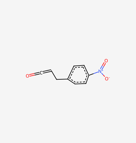 O=C=CCc1ccc([N+](=O)[O-])cc1